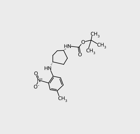 Cc1ccc(N[C@H]2CC[C@@H](NC(=O)OC(C)(C)C)CC2)c([N+](=O)[O-])c1